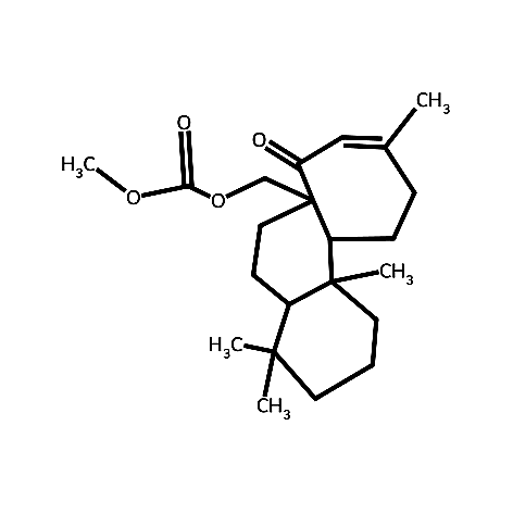 COC(=O)OCC12CCC3C(C)(C)CCCC3(C)C1CCC(C)=CC2=O